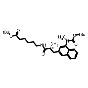 CN(C(=O)OC(C)(C)C)c1cc(C[C@@H](N)C(=O)NCCCCCC(=O)OC(C)(C)C)cc2ccccc12